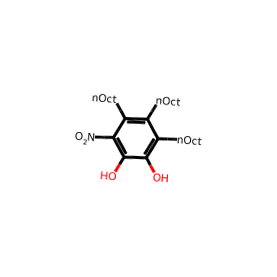 CCCCCCCCc1c(O)c(O)c([N+](=O)[O-])c(CCCCCCCC)c1CCCCCCCC